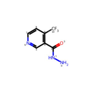 NNC(=O)c1cnccc1C(F)(F)F